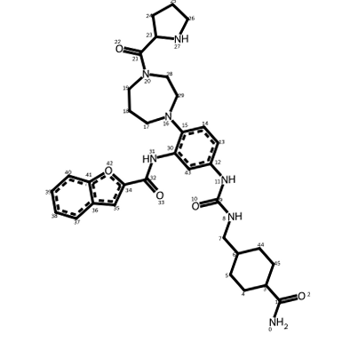 NC(=O)C1CCC(CNC(=O)Nc2ccc(N3CCCN(C(=O)C4CCCN4)CC3)c(NC(=O)c3cc4ccccc4o3)c2)CC1